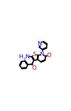 Nc1sc2c(ccc(=O)n2-c2cccnc2)c1C(=O)c1ccccc1